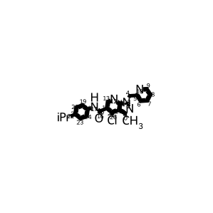 Cc1nn(Cc2ccccn2)c2ncc(C(=O)Nc3ccc(C(C)C)cc3)c(Cl)c12